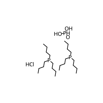 CCCCP(CCCC)CCCC.CCCCP(CCCC)CCCC.Cl.O=[PH](O)O